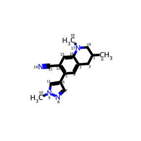 CC1Cc2cc(-c3cnn(C)c3)c(C#N)cc2N(C)C1